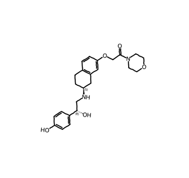 O=C(COc1ccc2c(c1)C[C@@H](NC[C@H](O)c1ccc(O)cc1)CC2)N1CCOCC1